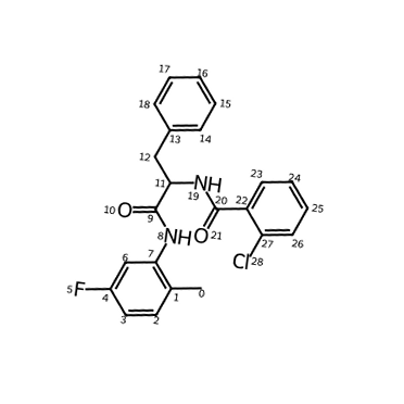 Cc1ccc(F)cc1NC(=O)C(Cc1ccccc1)NC(=O)c1ccccc1Cl